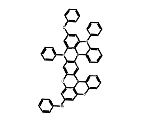 c1ccc(Nc2cc3c4c(c2)Oc2cc5c(cc2B4c2ccccc2O3)B2c3ccccc3N(c3ccccc3)c3cc(Oc4ccccc4)cc(c32)N5c2ccccc2)cc1